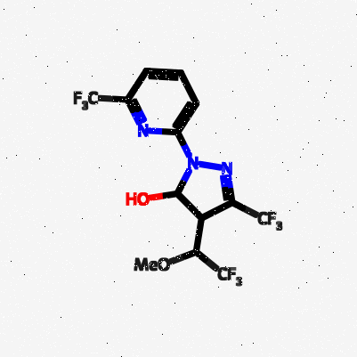 COC(C1C(C(F)(F)F)=NN(c2cccc(C(F)(F)F)n2)C1O)C(F)(F)F